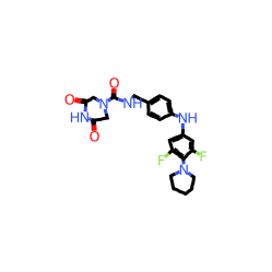 O=C1CN(C(=O)NCc2ccc(Nc3cc(F)c(N4CCCCC4)c(F)c3)cc2)CC(=O)N1